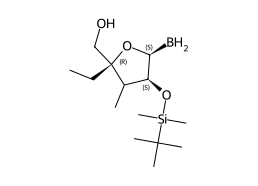 B[C@@H]1O[C@@](CC)(CO)C(C)[C@@H]1O[Si](C)(C)C(C)(C)C